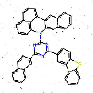 c1ccc2cc(-c3nc(-c4ccc5sc6ccccc6c5c4)nc(N4c5cc6ccccc6cc5-c5cccc6cccc4c56)n3)ccc2c1